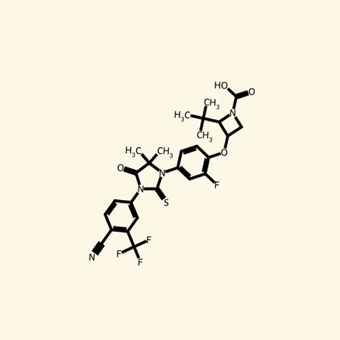 CC(C)(C)C1C(Oc2ccc(N3C(=S)N(c4ccc(C#N)c(C(F)(F)F)c4)C(=O)C3(C)C)cc2F)CN1C(=O)O